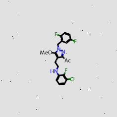 COc1c(CCNc2cccc(Cl)c2F)c(C(C)=O)nn1Cc1cc(F)ccc1F